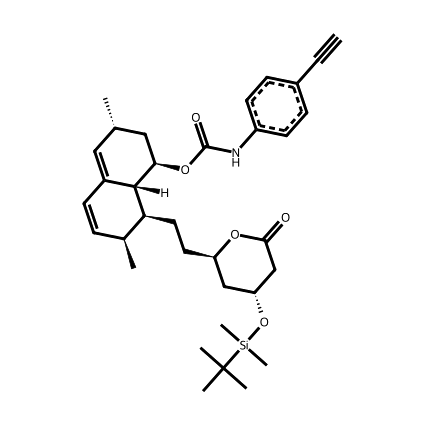 C#Cc1ccc(NC(=O)O[C@@H]2C[C@@H](C)C=C3C=C[C@H](C)[C@H](CC[C@@H]4C[C@@H](O[Si](C)(C)C(C)(C)C)CC(=O)O4)[C@H]32)cc1